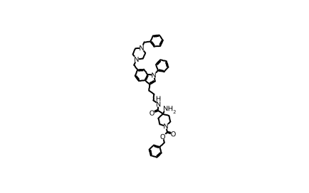 NC1(C(=O)NCCCc2cn(-c3ccccc3)c3cc(CN4CCN(Cc5ccccc5)CC4)ccc23)CCN(C(=O)OCc2ccccc2)CC1